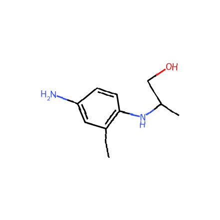 Cc1cc(N)ccc1NC(C)CO